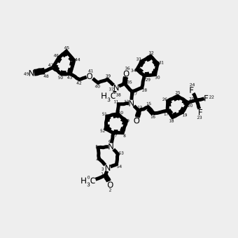 CC(=O)N1CCN(c2ccc(CN(C(=O)C=Cc3ccc(C(F)(F)F)cc3)C(Cc3ccccc3)C(=O)N(C)CCOCc3cccc(C#N)c3)cc2)CC1